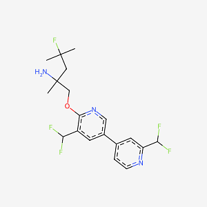 CC(C)(F)CC(C)(N)COc1ncc(-c2ccnc(C(F)F)c2)cc1C(F)F